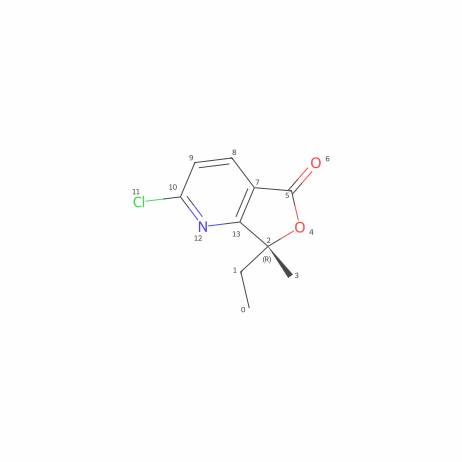 CC[C@@]1(C)OC(=O)c2ccc(Cl)nc21